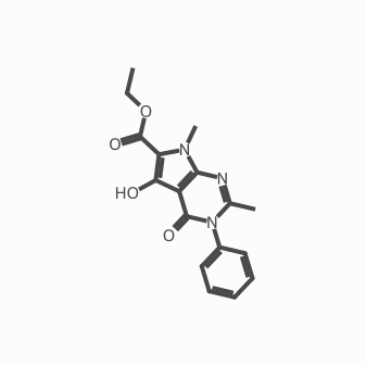 CCOC(=O)c1c(O)c2c(=O)n(-c3ccccc3)c(C)nc2n1C